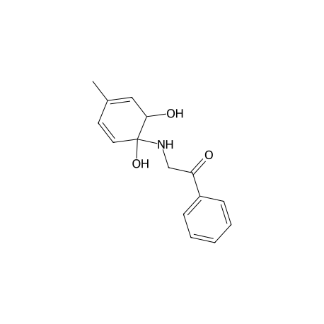 CC1=CC(O)C(O)(NCC(=O)c2ccccc2)C=C1